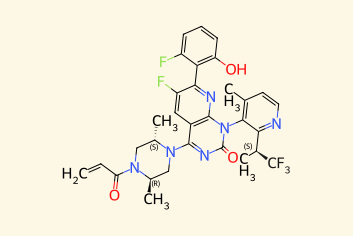 C=CC(=O)N1C[C@H](C)N(c2nc(=O)n(-c3c(C)ccnc3[C@H](C)C(F)(F)F)c3nc(-c4c(O)cccc4F)c(F)cc23)C[C@H]1C